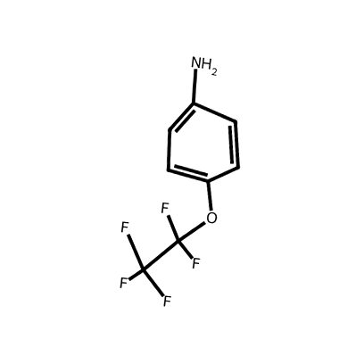 Nc1ccc(OC(F)(F)C(F)(F)F)cc1